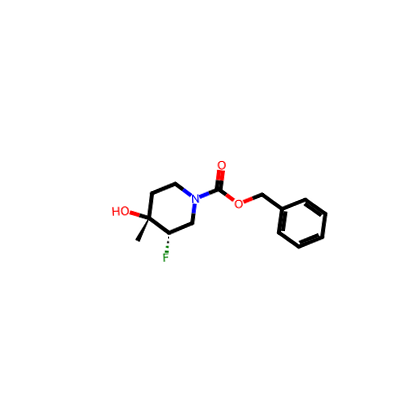 C[C@@]1(O)CCN(C(=O)OCc2ccccc2)C[C@@H]1F